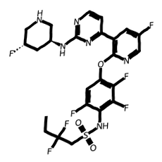 CCC(F)(F)CS(=O)(=O)Nc1c(F)cc(Oc2ncc(F)cc2-c2ccnc(N[C@@H]3CNC[C@@H](F)C3)n2)c(F)c1F